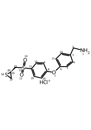 Cl.NCc1ccc(Oc2ccc(S(=O)(=O)C[C@H]3CS3)cc2)cc1